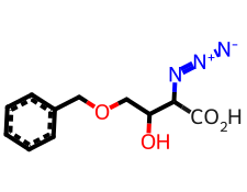 [N-]=[N+]=NC(C(=O)O)C(O)COCc1ccccc1